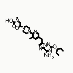 CCC(CC)Oc1nc(N)c2ncc(Cc3cnc(N4CCN(C(=O)CN(C)C(=O)O)CC4)c(C)c3)n2n1